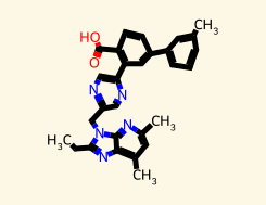 CCc1nc2c(C)cc(C)nc2n1Cc1cnc(-c2cc(-c3cccc(C)c3)ccc2C(=O)O)cn1